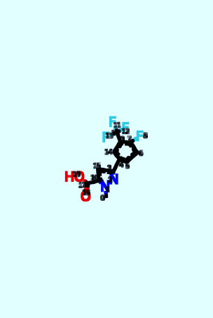 Cn1nc(-c2ccc(F)c(C(F)(F)F)c2)cc1C(=O)O